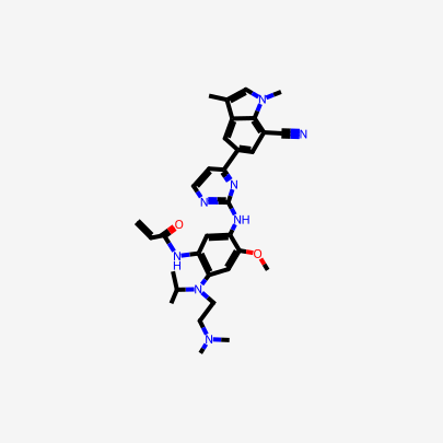 C=CC(=O)Nc1cc(Nc2nccc(-c3cc(C#N)c4c(c3)c(C)cn4C)n2)c(OC)cc1N(CCN(C)C)C(C)C